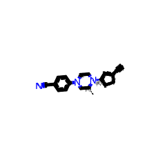 C#CC1=C[C@H](N2CCN(c3ccc(C#N)cc3)C[C@H]2C)CC1